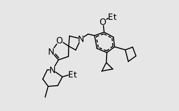 CCOc1cc(C2CCC2)c(C2CC2)cc1CN1CC2(CC(N3CCC(C)CC3CC)=NO2)C1